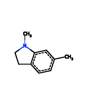 Cc1ccc2c(c1)N(C)CC2